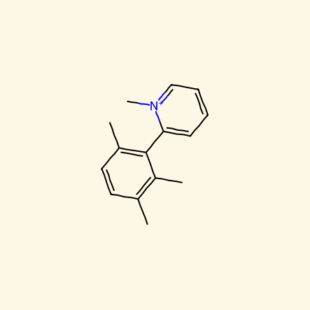 Cc1ccc(C)c(-c2cccc[n+]2C)c1C